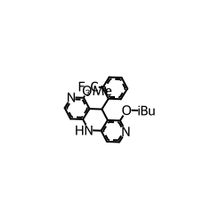 CCC(C)Oc1nccc2c1C(c1ccccc1C(F)(F)F)c1c(ccnc1OC)N2